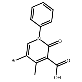 Cc1c(Br)cn(-c2ccccc2)c(=O)c1C(=O)O